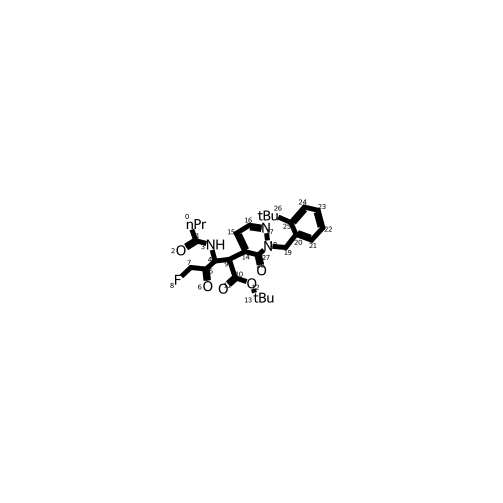 CCCC(=O)NC(C(=O)CF)C(C(=O)OC(C)(C)C)c1ccnn(Cc2ccccc2C(C)(C)C)c1=O